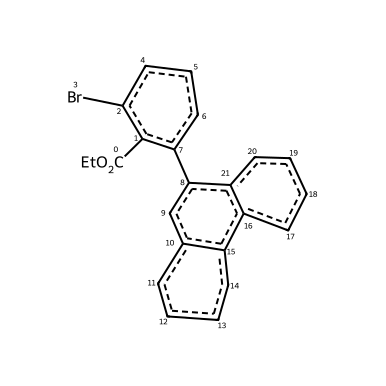 CCOC(=O)c1c(Br)cccc1-c1cc2ccccc2c2ccccc12